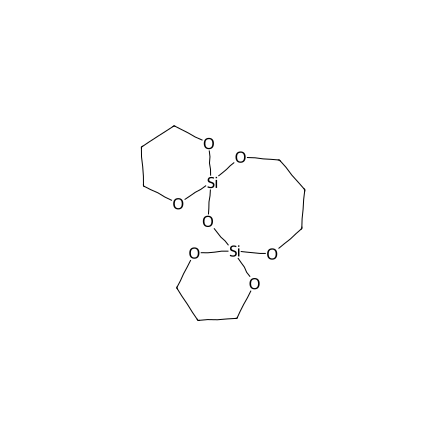 C1CO[Si]2(OC1)OCCCO[Si]1(OCCCO1)O2